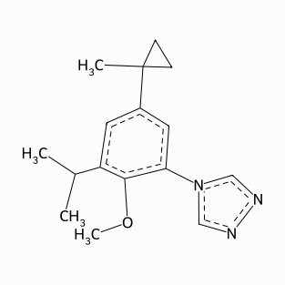 COc1c(C(C)C)cc(C2(C)CC2)cc1-n1cnnc1